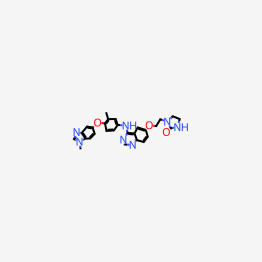 Cc1cc(Nc2ncnc3ccc(OCCN4CCNC4=O)cc23)ccc1Oc1ccc2c(c1)ncn2C